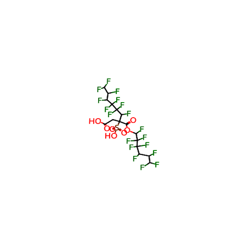 O=C(O)CC(C(=O)OC(F)C(F)(F)C(F)(F)C(F)C(F)C(F)F)(C(F)C(F)(F)C(F)(F)C(F)C(F)C(F)F)S(=O)(=O)O